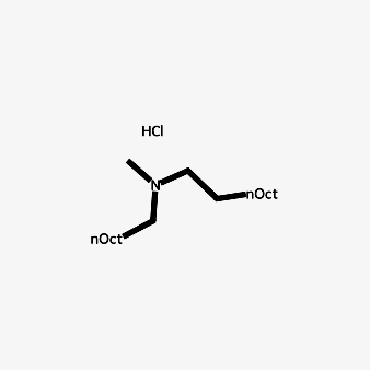 CCCCCCCCCCN(C)CCCCCCCCC.Cl